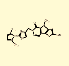 CSc1cc2c(s1)c1cnn(Cc3csc(-n4c(C)ccc4C)n3)c(=O)c1n2C